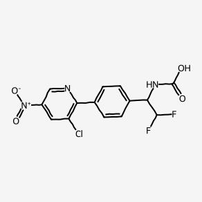 O=C(O)NC(c1ccc(-c2ncc([N+](=O)[O-])cc2Cl)cc1)C(F)F